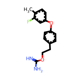 Cc1ccc(Oc2ccc(CCOC(=N)N)cc2)cc1F